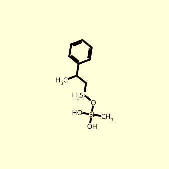 CC(C[SiH2]O[Si](C)(O)O)c1ccccc1